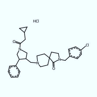 Cl.O=C(CC1CC1)N1CC(CN2CCC3(CC2)CCN(Cc2ccc(Cl)cc2)C3=O)C(c2ccccc2)C1